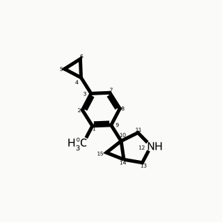 Cc1cc(C2CC2)ccc1C12CNCC1C2